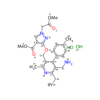 COC(=O)Cn1cc(C(=O)OC)c(OCc2c(C)nc(CC(C)C)c(CN)c2-c2ccc(C)cc2)n1.Cl.Cl